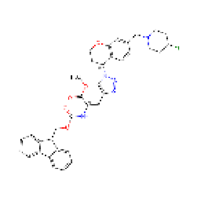 COC(=O)[C@@H](Cc1cn([C@@H]2CCOc3cc(CN4CCC(F)CC4)ccc32)nn1)NC(=O)OCC1c2ccccc2-c2ccccc21